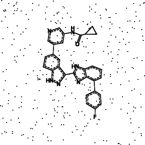 O=C(Nc1cncc(-c2ccc3[nH]nc(-c4nc5c(-c6ccc(F)cc6)cccc5[nH]4)c3c2)c1)C1CC1